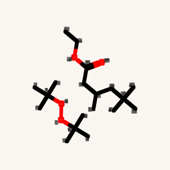 CC(C)(C)OOC(C)(C)C.CCOC(=O)CC(C)CC(C)(C)C